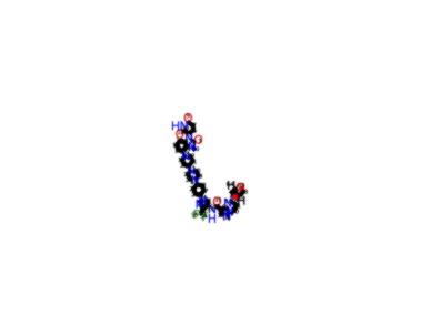 Cn1c(=O)n(C2CCC(=O)NC2=O)c2cccc(N3CCC(N4CCN([C@H]5CC[C@H](n6cc(NC(=O)c7cnn8ccc(N9C[C@H]%10C[C@@H]9CO%10)nc78)c(C(F)F)n6)CC5)CC4)CC3)c21